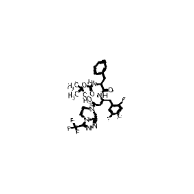 CC(C)(C)OC(=O)NC(Cc1ccccc1)C(=O)NC(CC(=O)N1CCn2c(nnc2C(F)(F)F)C1)Cc1cc(F)c(F)cc1F